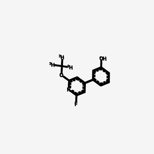 [2H]C([2H])([2H])Oc1cc(-c2cccc(O)c2)cc(F)n1